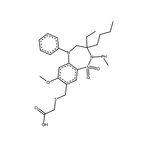 CCCCC1(CC)CN(c2ccccc2)c2cc(OC)c(CSCC(=O)O)cc2S(=O)(=O)N1PC